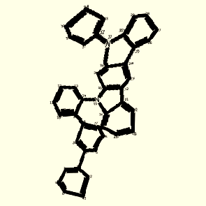 c1ccc(-c2cccc(-c3ccccc3-n3c4ccccc4c4cc5c6ccccc6n(-c6ccccc6)c5cc43)c2)cc1